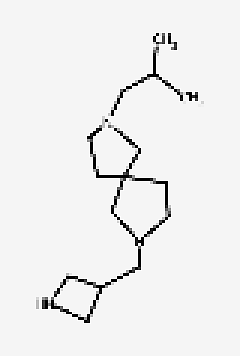 CC(C)CN1CCC2(CCN(CC3CNC3)C2)C1